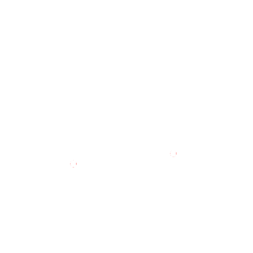 O=C1CCCc2cc3ccoc3cc21